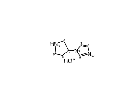 Cl.c1cn(C2CCNC2)cn1